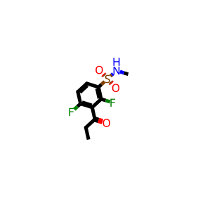 CCC(=O)c1c(F)ccc(S(=O)(=O)NC)c1F